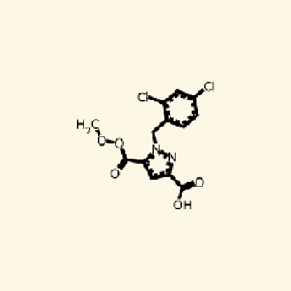 COOC(=O)c1cc(C(=O)O)nn1Cc1ccc(Cl)cc1Cl